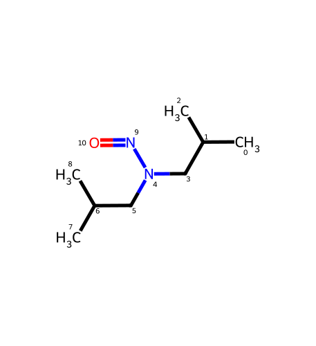 CC(C)CN(CC(C)C)N=O